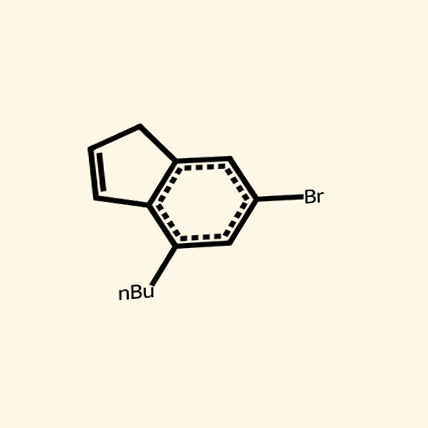 CCCCc1cc(Br)cc2c1C=CC2